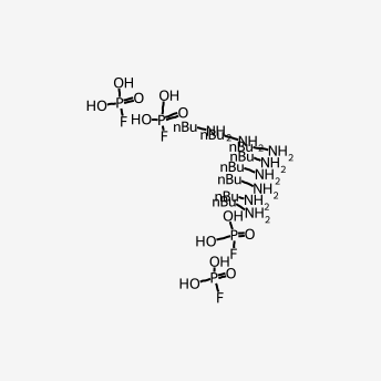 CCCCN.CCCCN.CCCCN.CCCCN.CCCCN.CCCCN.CCCCN.CCCCN.O=P(O)(O)F.O=P(O)(O)F.O=P(O)(O)F.O=P(O)(O)F